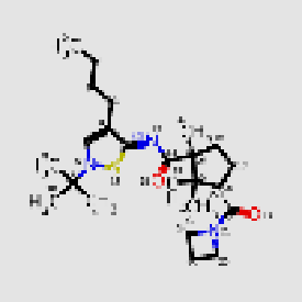 CCCCc1cn(C(C)(C)C)s/c1=N\C(=O)[C@]1(C)CC[C@H](C(=O)N2CCC2)C1(C)C